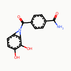 NC(=O)c1ccc(C(=O)N2c3ccc(O)c(O)c32)cc1